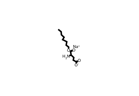 CCCCCCCCOC(=O)C(N)CCC(=O)[O-].[Na+]